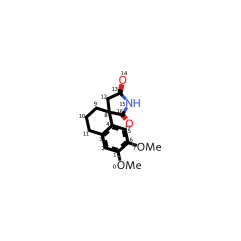 COc1cc2c(cc1OC)C1(CCC2)CC(=O)NC1=O